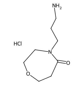 Cl.NCCCN1CCOCCC1=O